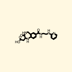 O=C(O)CC1Nc2ccc(C(=O)NCCNc3ccccn3)cc2CNC1=O